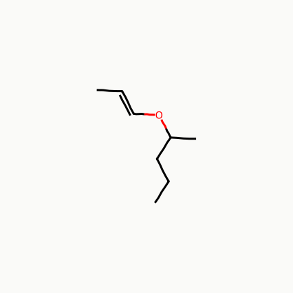 CC=COC(C)CCC